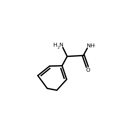 [NH]C(=O)C(N)C1=CCCC=C1